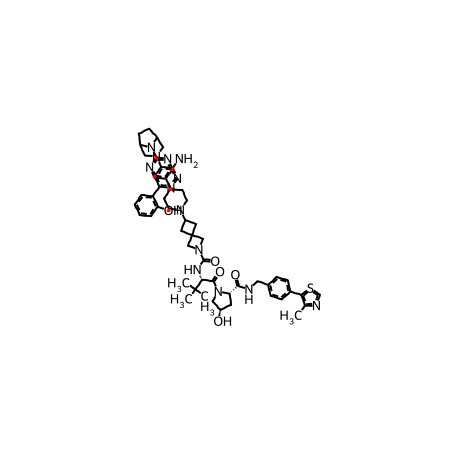 Cc1ncsc1-c1ccc(CNC(=O)[C@@H]2C[C@@H](O)CN2C(=O)[C@@H](NC(=O)N2CC3(CC(N4CCC(c5cnc(N6C7CCC6CN(c6cc(-c8ccccc8O)nnc6N)C7)nc5)CC4)C3)C2)C(C)(C)C)cc1